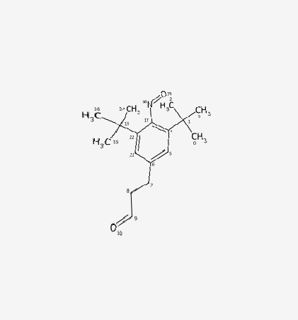 CC(C)(C)c1cc(CCC=O)cc(C(C)(C)C)c1N=O